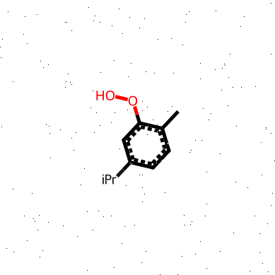 Cc1ccc(C(C)C)cc1OO